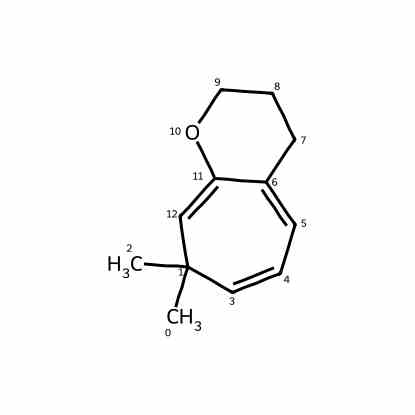 CC1(C)C=CC=C2CCCOC2=C1